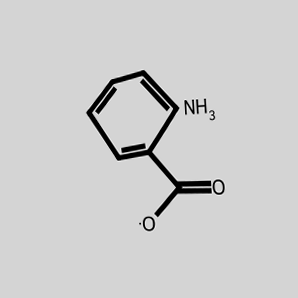 N.[O]C(=O)c1ccccc1